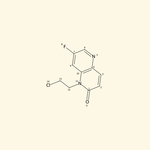 O=c1ccc2ncc(F)cc2n1CCCl